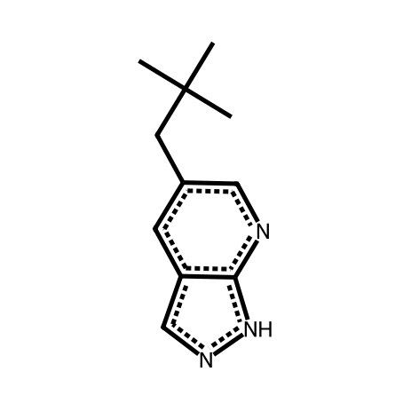 CC(C)(C)Cc1cnc2[nH]ncc2c1